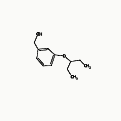 CCC(CC)Oc1cccc(CO)c1